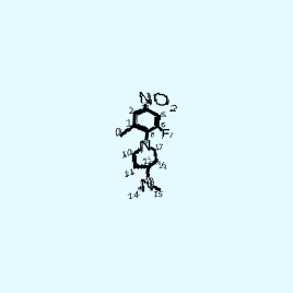 Cc1cc([N+](=O)[O-])cc(F)c1N1CCC(N(C)C)CC1